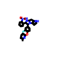 Cc1cccc(Oc2ccc(C3C(c4ccccc4[N+](=O)[O-])NC4Cc5[nH]ccc5N43)cc2F)n1